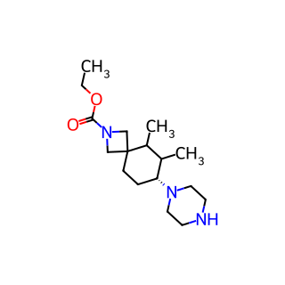 CCOC(=O)N1CC2(CC[C@@H](N3CCNCC3)C(C)C2C)C1